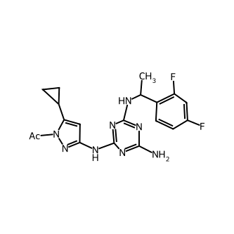 CC(=O)n1nc(Nc2nc(N)nc(NC(C)c3ccc(F)cc3F)n2)cc1C1CC1